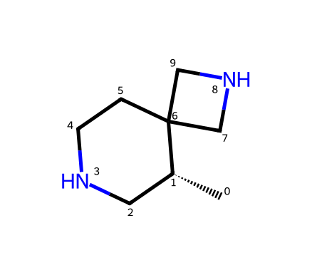 C[C@@H]1CNCCC12CNC2